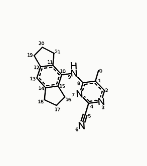 Cc1cnc(C#N)nc1Nc1c2c(cc3c1CCC3)CCC2